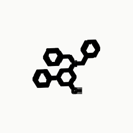 OC1CC(c2ccccc2)CC(N(Cc2ccccc2)Cc2ccccc2)C1